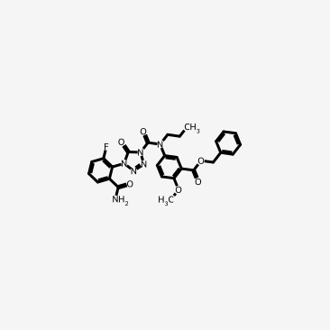 CCCN(C(=O)n1nnn(-c2c(F)cccc2C(N)=O)c1=O)c1ccc(OC)c(C(=O)OCc2ccccc2)c1